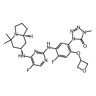 Cn1nnn(-c2cc(Nc3ncc(F)c(N[C@@H]4C[C@H]5CCCN5C(C)(C)C4)n3)c(F)cc2OC2COC2)c1=O